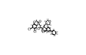 CN(C(=O)CN1C(=O)COc2cc(Cl)c(Cl)cc21)C(CN1CCOCC1)c1ccc(-c2ccccc2)cc1Cl